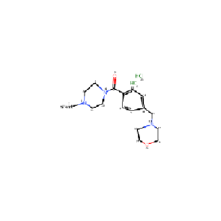 CCCCCN1CCN(C(=O)c2ccc(CN3CCOCC3)cc2)CC1.Cl.Cl